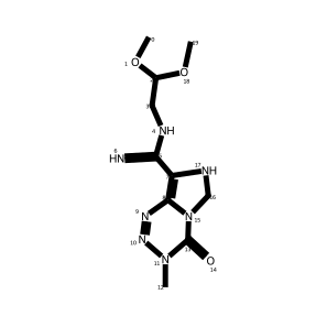 COC(CNC(=N)C1=C2N=NN(C)C(=O)N2CN1)OC